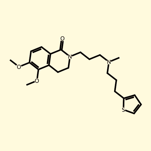 COc1ccc2c(c1OC)CCN(CCCN(C)CCCc1cccs1)C2=O